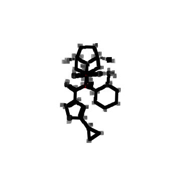 CN1CCCC[C@H]1CS(=O)(=O)N1[C@@H]2CC[C@H]1C[C@@H](NC(=O)c1cc(C3CC3)on1)C2